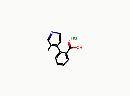 Cc1cnccc1-c1ccccc1C(=O)O.Cl